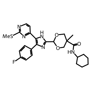 CSc1nccc(-c2[nH]c(C3OCC(C)(C(=O)NC4CCCCC4)CO3)nc2-c2ccc(F)cc2)n1